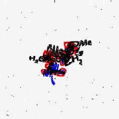 C=C1C[C@H]2C(O)N(C(=O)OCc3ccc(NC(=O)[C@H](CCCNC(N)=O)NC(=O)[C@@H](NC(=O)CCCCCN4C(=O)C=CC4=O)C(C)C)cc3)c3cc(OCCCCCOc4cc5c(cc4OC)C(=O)N4CC(=C)C[C@H]4C(O)N5C(=O)OCc4cc5c(n4C)C(=O)C=C(OC)C5=O)c(OC)cc3C(=O)N2C1